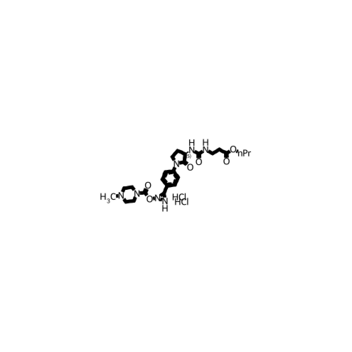 CCCOC(=O)CCNC(=O)N[C@H]1CCN(c2ccc(C3NN3OC(=O)N3CCN(C)CC3)cc2)C1=O.Cl.Cl